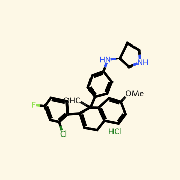 COc1ccc2c(c1)C(C=O)(c1ccc(N[C@H]3CCNC3)cc1)C(c1ccc(F)cc1Cl)=CC2.Cl